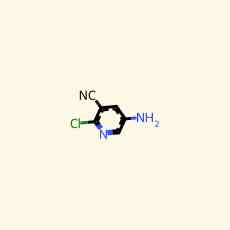 N#Cc1cc(N)cnc1Cl